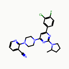 CC1CCCN1c1nc(-c2ccc(F)c(Cl)c2)cc(N2CCN(c3ncccc3C#N)CC2)n1